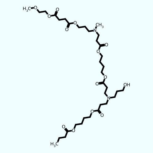 CCCC(=O)OCCCCOC(=O)CCN(CCCO)CCC(=O)OCCCCOC(=O)CCN(C)CCCOC(=O)CCC(=O)OCCOC